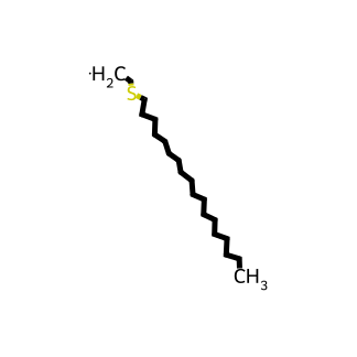 [CH2]CSCCCCCCCCCCCCCCCCCC